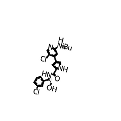 CC[C@H](C)Nc1cc(-c2c[nH]c(C(=O)N[C@H](CO)c3cccc(Cl)c3)c2)c(Cl)cn1